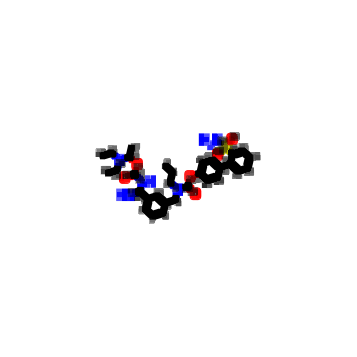 CCCN(Cc1cccc(C(=N)NC(=O)OC(C)N(CC)CC)c1)C(=O)Oc1ccc(-c2ccccc2S(N)(=O)=O)cc1